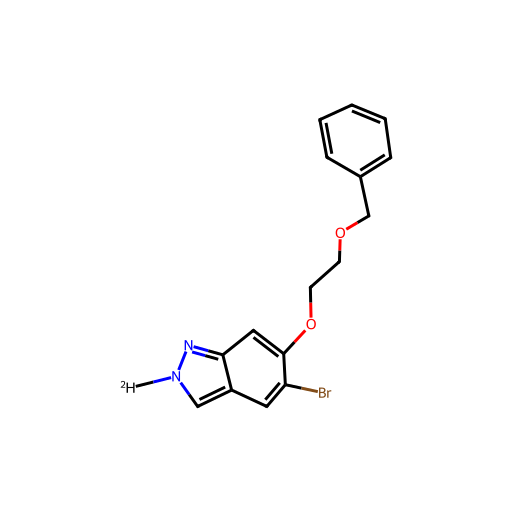 [2H]n1cc2cc(Br)c(OCCOCc3ccccc3)cc2n1